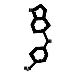 Nc1ccc(Nc2ccc3[nH]ccc3c2)cc1